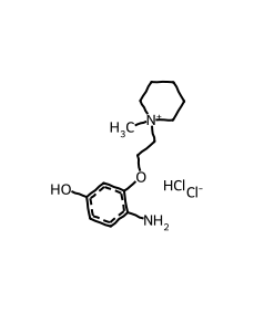 C[N+]1(CCOc2cc(O)ccc2N)CCCCC1.Cl.[Cl-]